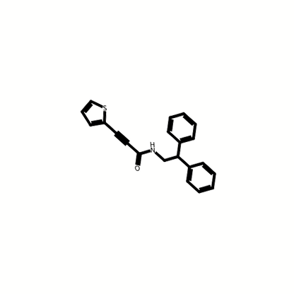 O=C(C#Cc1cccs1)NCC(c1ccccc1)c1ccccc1